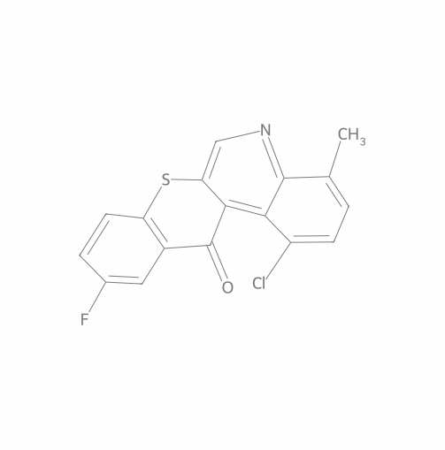 Cc1ccc(Cl)c2c1ncc1sc3ccc(F)cc3c(=O)c12